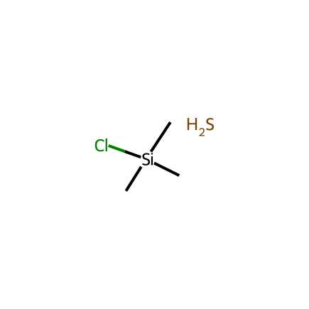 C[Si](C)(C)Cl.S